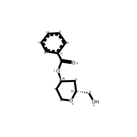 O=C(O[C@@H]1CCO[C@@H](CO)C1)c1ccccc1